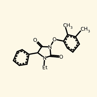 CCN1C(=O)N(Oc2cccc(C)c2C)C(=O)C1c1ccccc1